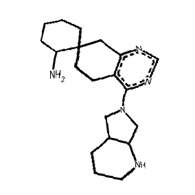 NC1CCCCC12CCc1c(ncnc1N1CC3CCCNC3C1)C2